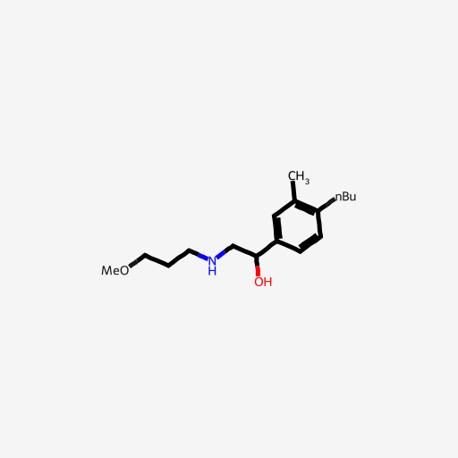 CCCCc1ccc(C(O)CNCCCOC)cc1C